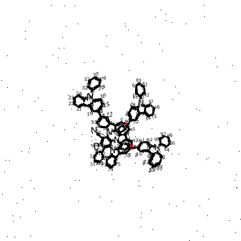 N#Cc1c(-n2c3ccccc3c3cc(-c4ccc5c(c4)c4ccccc4n5-c4ccccc4)ccc32)c(-n2c3ccccc3c3cc(-c4ccc5c(c4)c4ccccc4n5-c4ccccc4)ccc32)c(-n2c3ccccc3c3cc(-c4ccc5c(c4)c4ccccc4n5-c4ccccc4)ccc32)c2c1oc1ccccc12